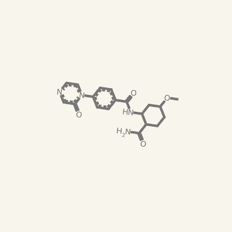 COC1CCC(C(N)=O)C(NC(=O)c2ccc(-n3ccncc3=O)cc2)C1